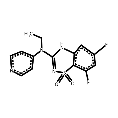 CCN(C1=NS(=O)(=O)c2c(F)cc(F)cc2N1)c1ccncc1